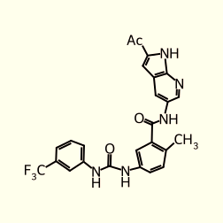 CC(=O)c1cc2cc(NC(=O)c3cc(NC(=O)Nc4cccc(C(F)(F)F)c4)ccc3C)cnc2[nH]1